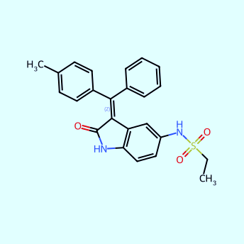 CCS(=O)(=O)Nc1ccc2c(c1)/C(=C(\c1ccccc1)c1ccc(C)cc1)C(=O)N2